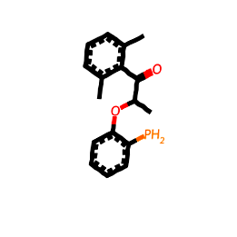 Cc1cccc(C)c1C(=O)C(C)Oc1ccccc1P